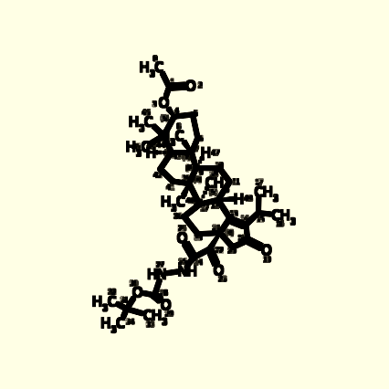 CC(=O)O[C@H]1CC[C@]2(C)[C@H]3CC[C@@H]4C5=C(C(C)C)C(=O)C[C@]5(C(=O)C(=O)NNC(=O)OC(C)(C)C)CC[C@@]4(C)[C@]3(C)CC[C@H]2C1(C)C